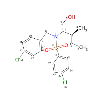 CC[C@H](C)[C@@H](CO)N(Cc1ccc(Cl)cc1)S(=O)(=O)c1ccc(Cl)cc1